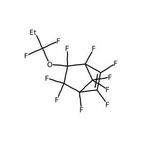 CCC(F)(F)OC1(F)C(F)(F)C2(F)C(F)=C(F)C1(F)C2(F)F